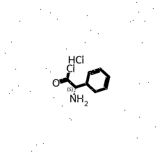 Cl.N[C@H](C(=O)Cl)C1C=CC=CC1